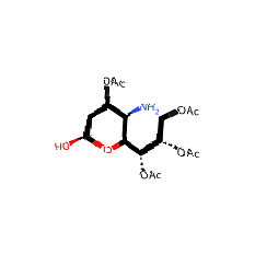 CC(=O)OC[C@H](OC(C)=O)[C@H](OC(C)=O)C1O[C@@H](O)CC(OC(C)=O)[C@H]1N